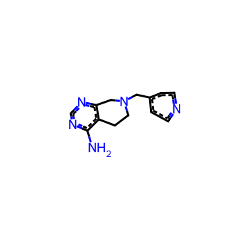 Nc1ncnc2c1CCN(Cc1ccncc1)C2